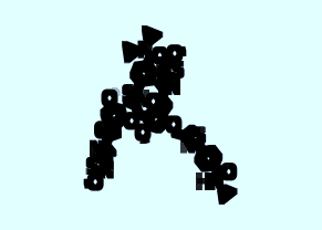 COc1cc(OC(c2csc(-c3ccc(C(=O)N(C4CC4)C4CC4)cc3)n2)c2c(OC)cc(OCc3csc(-c4ccc(C(=O)NC5CC5)cc4)n3)c3cc(-c4cn5nc(OC)sc5n4)oc23)c2cc(-c3cn4nc(OC)sc4n3)oc2c1